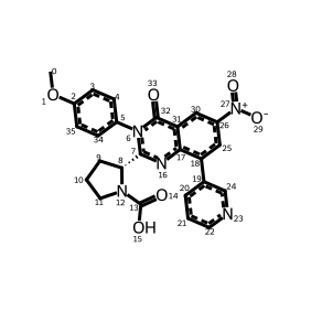 COc1ccc(-n2c([C@H]3CCCN3C(=O)O)nc3c(-c4cccnc4)cc([N+](=O)[O-])cc3c2=O)cc1